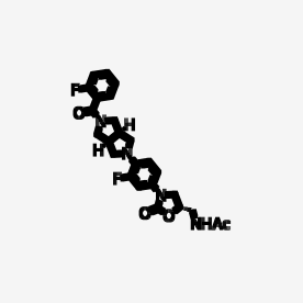 CC(=O)NC[C@H]1CN(c2ccc(N3C[C@H]4CN(C(=O)c5ccccc5F)C[C@H]4C3)c(F)c2)C(=O)O1